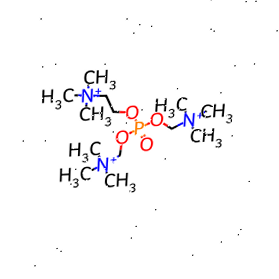 C[N+](C)(C)CCOP(=O)(OC[N+](C)(C)C)OC[N+](C)(C)C